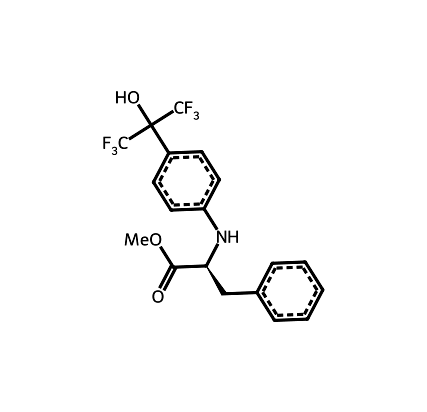 COC(=O)[C@H](Cc1ccccc1)Nc1ccc(C(O)(C(F)(F)F)C(F)(F)F)cc1